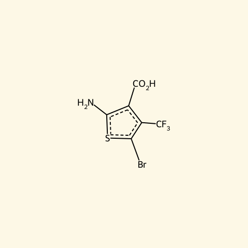 Nc1sc(Br)c(C(F)(F)F)c1C(=O)O